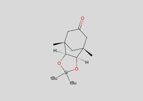 CC(C)(C)[Si]1(C(C)(C)C)O[C@@H]2[C@H](O1)[C@@]1(C)CC(=O)C[C@]2(C)C1